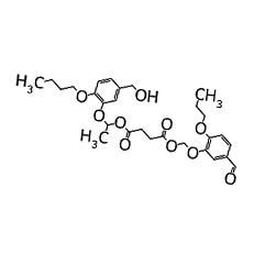 CCCCOc1ccc(CO)cc1OC(C)OC(=O)CCC(=O)OCOc1cc(C=O)ccc1OCCC